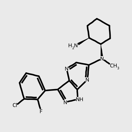 CN(c1cnc2c(-c3cccc(Cl)c3F)n[nH]c2n1)[C@@H]1CCCC[C@@H]1N